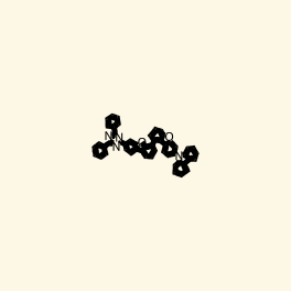 c1ccc(-c2nc(-c3ccccc3)nc(-c3ccc4c(c3)oc3c(-c5cccc6oc7cc(-n8c9ccccc9c9ccccc98)ccc7c56)cccc34)n2)cc1